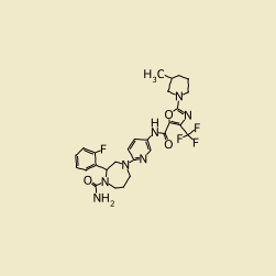 CC1CCCN(c2nc(C(F)(F)F)c(C(=O)Nc3ccc(N4CCCN(C(N)=O)C(c5ccccc5F)C4)nc3)o2)C1